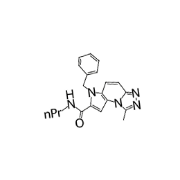 CCCNC(=O)c1cc2c(ccc3nnc(C)n32)n1Cc1ccccc1